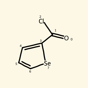 O=C(Cl)c1ccc[se]1